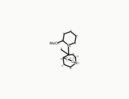 COC1CCCCN1C1(C)CCN2CCC1CC2